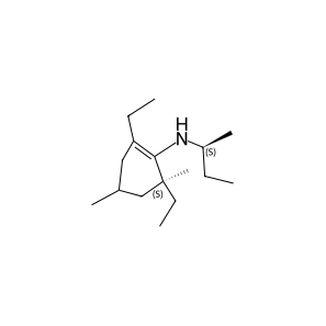 CCC1=C(N[C@@H](C)CC)[C@@](C)(CC)CC(C)C1